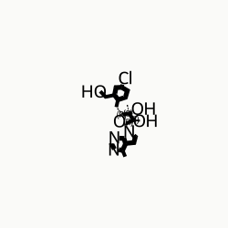 Cc1ncnc2c1ccn2[C@@H]1O[C@H](Cc2ccc(Cl)cc2CO)[C@@](C)(O)[C@H]1O